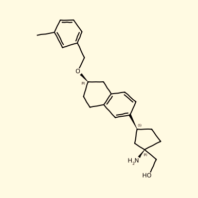 Cc1cccc(CO[C@@H]2CCc3cc([C@H]4CC[C@](N)(CO)C4)ccc3C2)c1